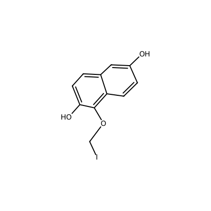 Oc1ccc2c(OCI)c(O)ccc2c1